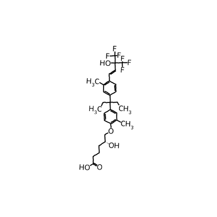 CCC(CC)(c1ccc(/C=C/C(O)(C(F)(F)F)C(F)(F)F)c(C)c1)c1ccc(OC[C@H](O)CCCC(=O)O)c(C)c1